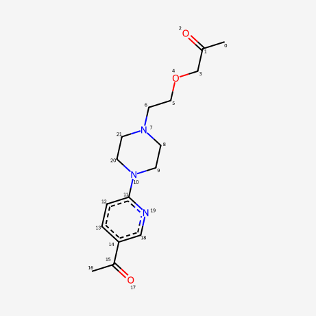 CC(=O)COCCN1CCN(c2ccc(C(C)=O)cn2)CC1